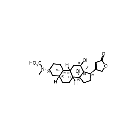 CN(C(=O)O)[C@@H]1CC[C@]2(C)[C@H](CC[C@@H]3[C@H]2C[C@@H](O)[C@@]2(C)[C@@H](C4=CC(=O)OC4)CC[C@@]32O)C1